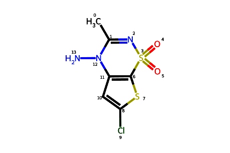 CC1=NS(=O)(=O)c2sc(Cl)cc2N1N